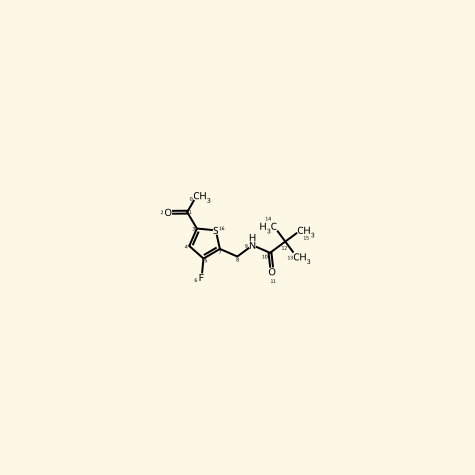 CC(=O)c1cc(F)c(CNC(=O)C(C)(C)C)s1